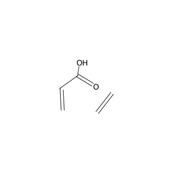 C=C.C=CC(=O)O